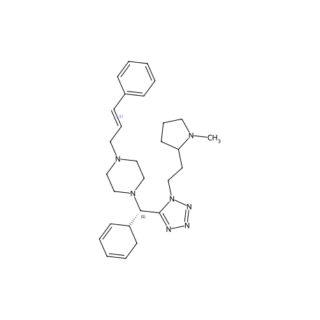 CN1CCCC1CCn1nnnc1[C@H](C1C=CC=CC1)N1CCN(C/C=C/c2ccccc2)CC1